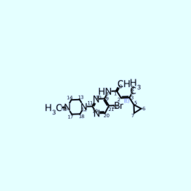 C=C(/C=C(\C)C1CC1)Nc1nc(N2CCN(C)CC2)ncc1Br